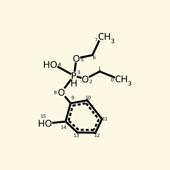 CCO[PH](O)(OCC)Oc1ccccc1O